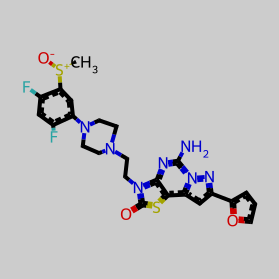 C[S@+]([O-])c1cc(N2CCN(CCn3c(=O)sc4c3nc(N)n3nc(-c5ccco5)cc43)CC2)c(F)cc1F